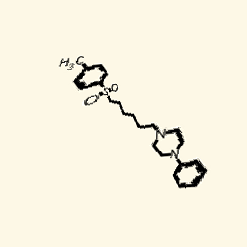 Cc1ccc(S(=O)(=O)CCCCCCN2CCN(c3ccccc3)CC2)cc1